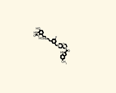 Cc1ccc2[nH]c(C(=O)N3CCOC4(CCN(Cc5cc(F)cc(CCNCC(O)c6ccc(O)c7[nH]c(=O)sc67)c5)CC4)C3)cc2c1